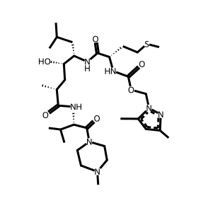 CSCC[C@H](NC(=O)OCn1nc(C)cc1C)C(=O)N[C@@H](CC(C)C)[C@@H](O)C[C@@H](C)C(=O)N[C@H](C(=O)N1CCN(C)CC1)C(C)C